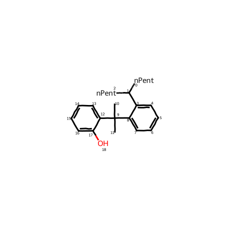 CCCCCC(CCCCC)c1ccccc1C(C)(C)c1ccccc1O